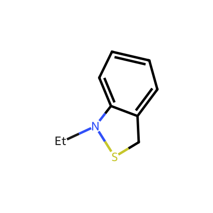 CCN1SCc2ccccc21